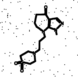 Cn1ncc2c1N(CCCN1CCS(=O)(=O)CC1)CCCC2=O